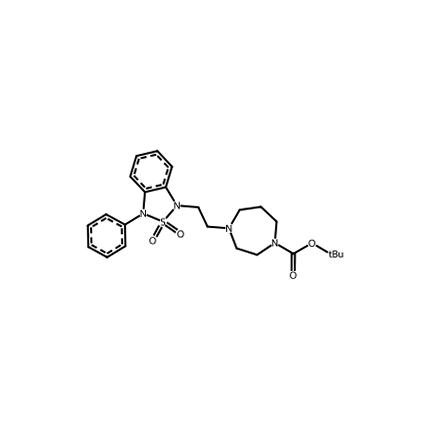 CC(C)(C)OC(=O)N1CCCN(CCN2c3ccccc3N(c3ccccc3)S2(=O)=O)CC1